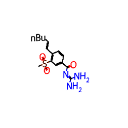 CCCCC=Cc1ccc(C(=O)N=C(N)N)cc1S(C)(=O)=O